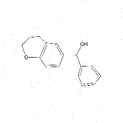 OC(c1ccccc1)c1ccc2c(c1)CCCO2